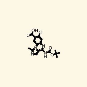 Cc1ncc2c(NC(=O)OC(C)(C)C)nc3cc(Cl)c(C(=O)O)cc3n12